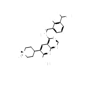 COc1nc2ncnc(N[C@H](C)c3cccc(C(C)F)c3F)c2cc1C1CCS(=O)(=O)CC1